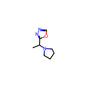 CC(c1nnco1)N1CCCC1